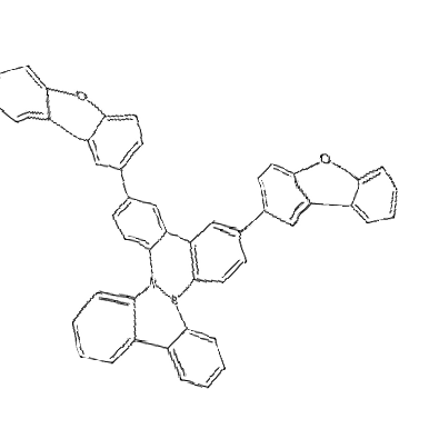 c1ccc2c(c1)B1c3ccc(-c4ccc5oc6ccccc6c5c4)cc3-c3cc(-c4ccc5oc6ccccc6c5c4)ccc3N1c1ccccc1-2